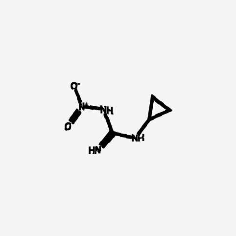 N=C(NC1CC1)N[N+](=O)[O-]